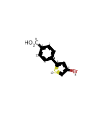 O=C(O)c1ccc(-c2cc(Br)cs2)cc1